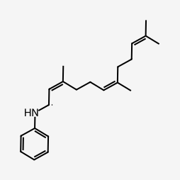 CC(C)=CCCC(C)=CCCC(C)=C[CH]Nc1ccccc1